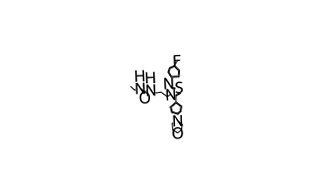 CCNC(=O)NCCCn1c(-c2ccc(N3CCOCC3)cc2)cs/c1=N\c1ccc(F)cc1